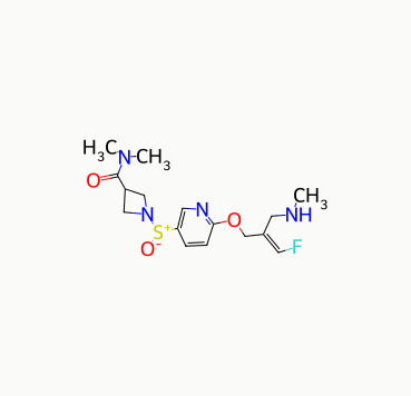 CNC/C(=C\F)COc1ccc([S+]([O-])N2CC(C(=O)N(C)C)C2)cn1